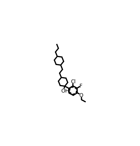 CCCC1CCC(CCC2CCC(O)(c3ccc(OCC)c(F)c3Cl)CC2)CC1